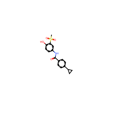 CS(=O)(=O)c1cc(NC(=O)c2ccc(C3CC3)cc2)ccc1O